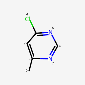 Cc1[c]c(Cl)ncn1